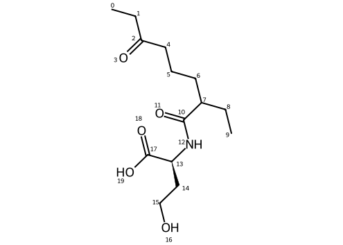 CCC(=O)CCCC(CC)C(=O)N[C@@H](CCO)C(=O)O